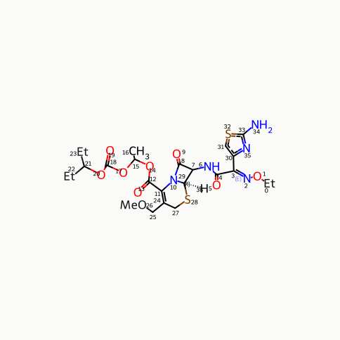 CCO/N=C(/C(=O)NC1C(=O)N2C(C(=O)OC(C)OC(=O)OC(CC)CC)=C(COC)CS[C@H]12)c1csc(N)n1